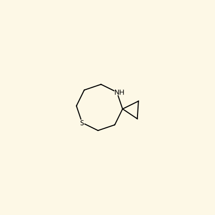 C1CNC2(CCSC1)CC2